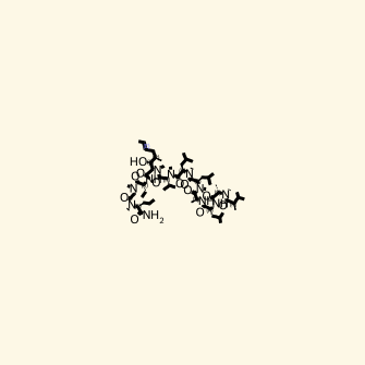 C/C=C/C[C@@H](C)[C@H](O)C(C(=O)N[C@H](CC)C(=O)N(C)CC(=O)N(C)[C@@H](CCC)C(N)=O)N(C)C(=O)[C@@H](C(C)C)N(C)C(=O)[C@@H](CC(C)C)N(C)C(=O)[C@@H](CC(C)C)N(C)C(=O)[C@H](C)NC(=O)[C@@H](CC(C)C)NC(=O)[C@H](C)N(C)C(=O)[C@H](C)C(C)C